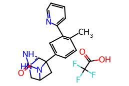 Cc1ccc(C23CNCC(C2)N3C(N)=O)cc1-c1ccccn1.O=C(O)C(F)(F)F